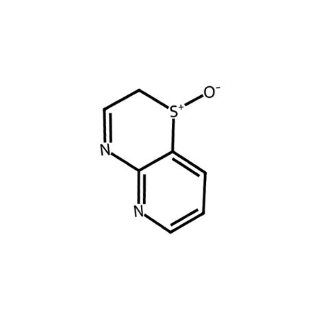 [O-][S+]1CC=Nc2ncccc21